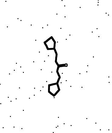 O=C(CCC1CCCC1)CCC1CCCC1